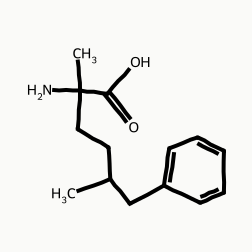 CC(CCC(C)(N)C(=O)O)Cc1ccccc1